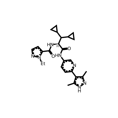 CCn1nccc1C(=O)N[C@H](C(=O)Nc1ccc(-c2c(C)n[nH]c2C)nc1)C(C1CC1)C1CC1